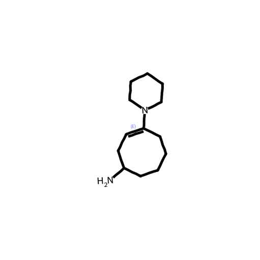 NC1C/C=C(/N2CCCCC2)CCCC1